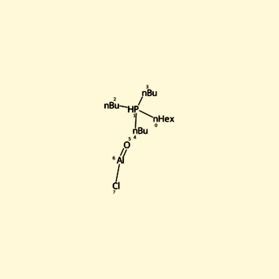 CCCCCC[PH](CCCC)(CCCC)CCCC.[O]=[Al][Cl]